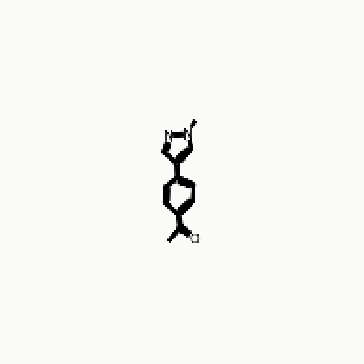 CC(=O)c1ccc(-c2cnn(C)c2)cc1